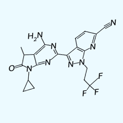 CC1C(=O)N(C2CC2)c2nc(-c3nn(CCC(F)(F)F)c4nc(C#N)ccc34)nc(N)c21